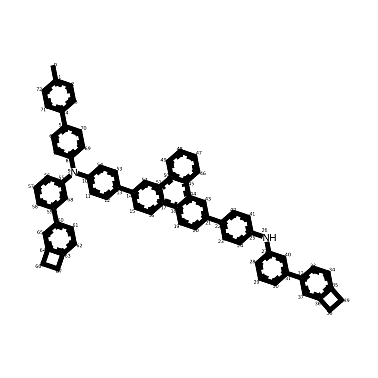 Cc1ccc(-c2ccc(N(c3ccc(-c4ccc5c6ccc(-c7ccc(Nc8cccc(-c9ccc%10c(c9)CC%10)c8)cc7)cc6c6ccccc6c5c4)cc3)c3cccc(-c4ccc5c(c4)CC5)c3)cc2)cc1